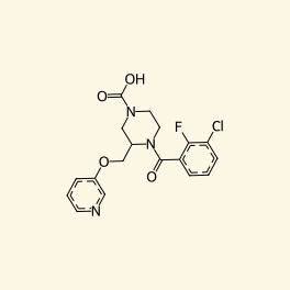 O=C(O)N1CCN(C(=O)c2cccc(Cl)c2F)C(COc2cccnc2)C1